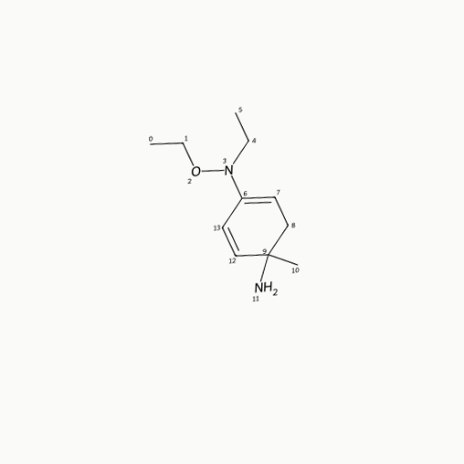 CCON(CC)C1=CCC(C)(N)C=C1